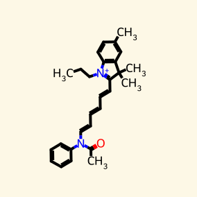 CCC[N+]1=C(/C=C/C=C/C=C/N(C(C)=O)c2ccccc2)C(C)(C)c2cc(C)ccc21